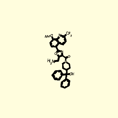 COc1ccc(-c2nc(C(=O)N3CCC(C(O)(c4ccccc4)c4ccccc4)CC3)c(CN)o2)c2ccc(C(F)(F)F)nc12